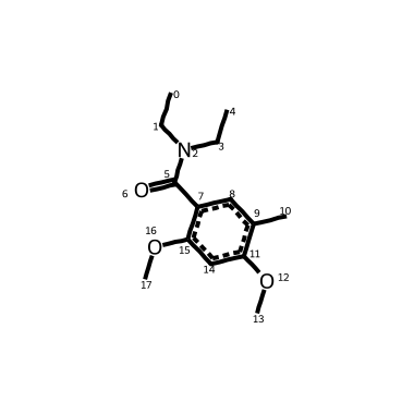 CCN(CC)C(=O)c1cc(C)c(OC)cc1OC